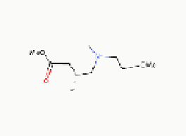 COCCN(C)C[C@H](C)CC(=O)OC